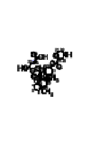 C[C@@]12CCC[C@H]1[C@@H]1C(=O)C(=O)[C@H]3C[C@@H](OC(=O)[C@H]4CNCCO4)CC[C@]3(C)[C@H]1CC2.O=C(O)/C=C/C(=O)O